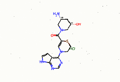 Cl.N[C@@H]1C[C@H](O)CN(C(=O)C2=CN(c3ncnc4[nH]ccc34)CCS2)C1